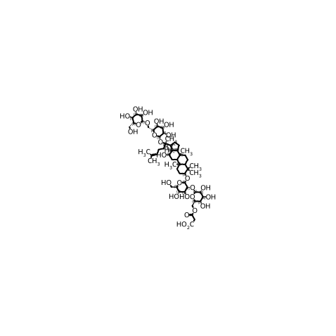 CC(C)=CCC[C@](C)(O[C@@H]1O[C@H](CO[C@@H]2O[C@H](CO)[C@@H](O)[C@H](O)[C@H]2O)[C@@H](O)[C@H](O)[C@H]1O)C1CC[C@]2(C)[C@@H]1[C@H](O)CC1[C@@]3(C)CC[C@H](O[C@@H]4O[C@H](CO)[C@@H](O)[C@H](O)[C@H]4O[C@@H]4O[C@H](COC(=O)CC(=O)O)[C@@H](O)[C@H](O)[C@H]4O)C(C)(C)C3CC[C@]12C